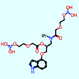 CC(C)N(CC(COc1cccc2[nH]ccc12)OC(=O)COCCON(O)O)C(=O)COCCON(O)O